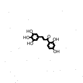 O=C(C=Cc1cc(O)c(O)c(O)c1)c1ccc(O)cc1O